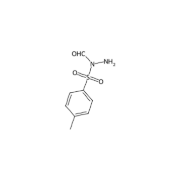 Cc1ccc(S(=O)(=O)N(N)C=O)cc1